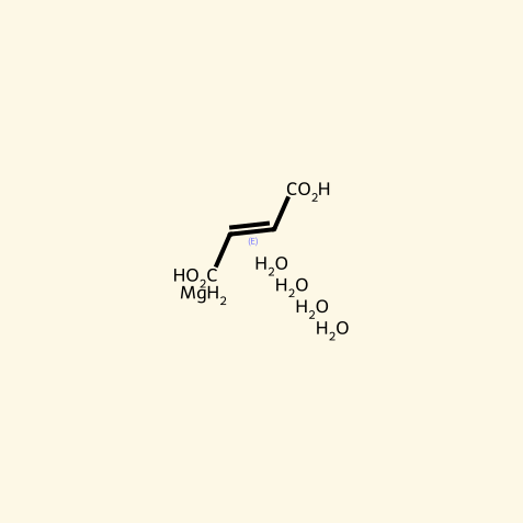 O.O.O.O.O=C(O)/C=C/C(=O)O.[MgH2]